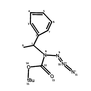 CC(c1ccccc1)N(N=[N+]=[N-])C(=O)OC(C)(C)C